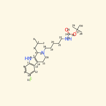 CC(C)CC1c2[nH]c3ccc(F)cc3c2CCN1CCCCCNC(=O)OC(C)(C)C